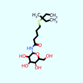 CCC(C)(CC)SCCCCC(=O)N[C@@H]1OC(CO)[C@@H](O)C(O)C1O